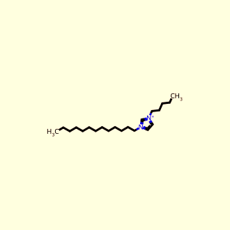 CCCCCCCCCCCCCn1cc[n+](CCCCC)c1